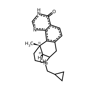 C[C@H]1C2Cc3ccc4c(=O)[nH]cnc4c3[C@@]1(C)CCN2CC1CC1